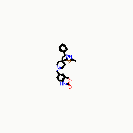 Cc1nnc(C2(CCc3ccccc3)CCN(Cc3ccc4c(c3)COC(=O)N4)CC2)s1